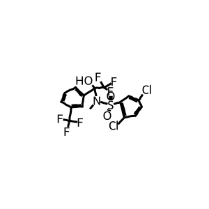 CN(C(O)(c1cccc(C(F)(F)F)c1)C(F)(F)F)S(=O)(=O)c1cc(Cl)ccc1Cl